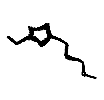 CCn1cc(CCCOC)nn1